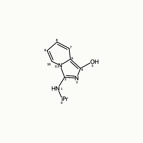 CC(C)Nc1nc(O)c2ccccn12